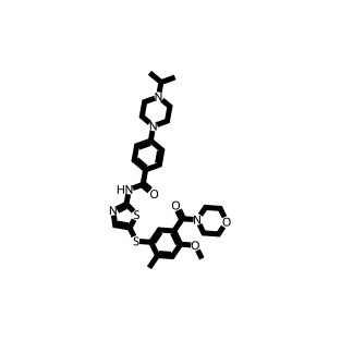 COc1cc(C)c(Sc2cnc(NC(=O)c3ccc(N4CCN(C(C)C)CC4)cc3)s2)cc1C(=O)N1CCOCC1